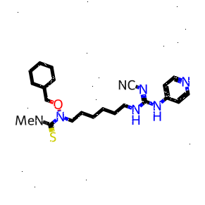 CNC(=S)N(CCCCCCNC(=NC#N)Nc1ccncc1)OCC1CCCCC1